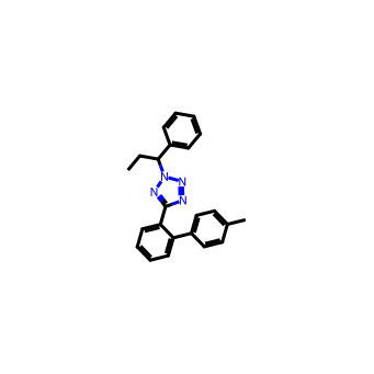 CCC(c1ccccc1)n1nnc(-c2ccccc2-c2ccc(C)cc2)n1